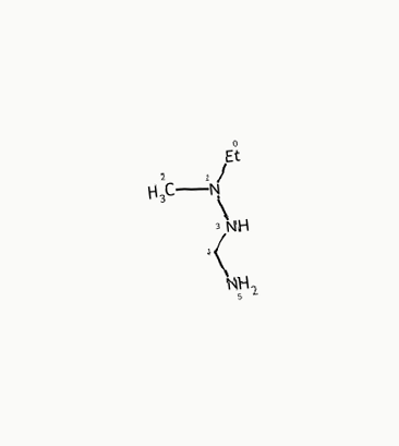 CCN(C)NCN